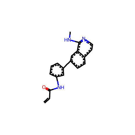 C=CC(=O)Nc1cccc(-c2ccc3ccnc(NC)c3c2)c1